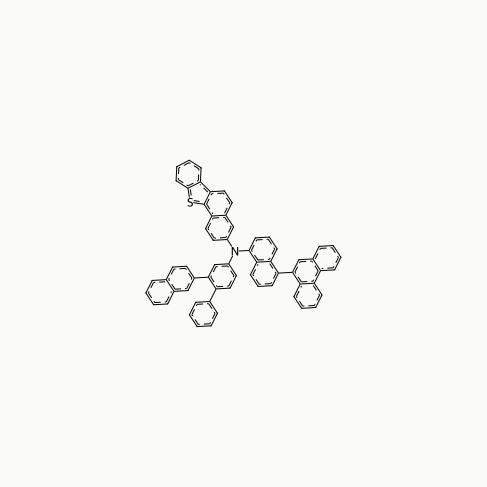 c1ccc(-c2ccc(N(c3ccc4c(ccc5c6ccccc6sc45)c3)c3cccc4c(-c5cc6ccccc6c6ccccc56)cccc34)cc2-c2ccc3ccccc3c2)cc1